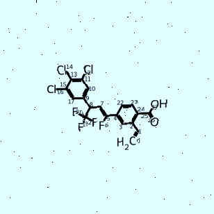 C=Cc1cc(/C(F)=C/C(c2cc(Cl)c(Cl)c(Cl)c2)C(F)(F)F)ccc1C(=O)O